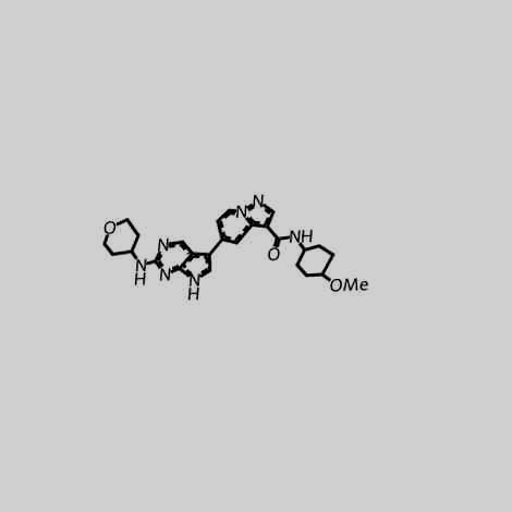 COC1CCC(NC(=O)c2cnn3ccc(-c4c[nH]c5nc(NC6CCOCC6)ncc45)cc23)CC1